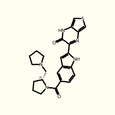 O=C(c1ccc2[nH]c(-c3nc4cscc4[nH]c3=O)cc2c1)N1CCC[C@@H]1CN1CCCC1